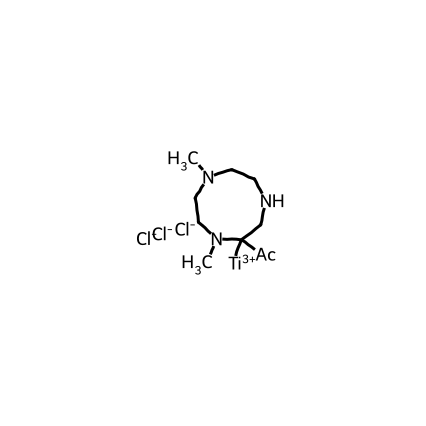 CC(=O)[C]1([Ti+3])CNCCN(C)CCN1C.[Cl-].[Cl-].[Cl-]